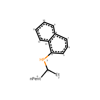 CCCCCC(CC)Pc1cccc2ccccc12